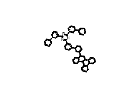 c1ccc(-c2cccc(-c3nc(-c4cccc(-c5ccccc5)c4)nc(-c4cccc(-c5cccc(-c6cc7c8ccccc8c8ccccc8c7c7ccccc67)c5)c4)n3)c2)cc1